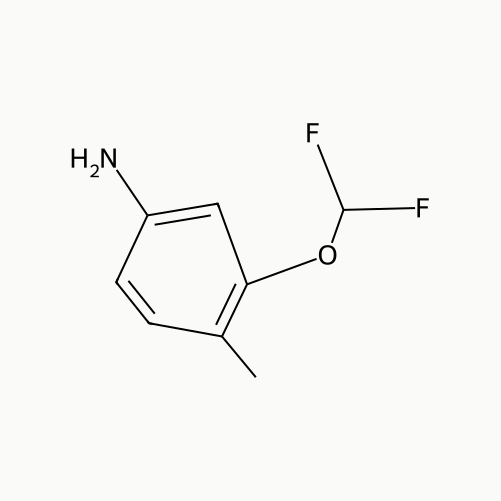 Cc1ccc(N)cc1OC(F)F